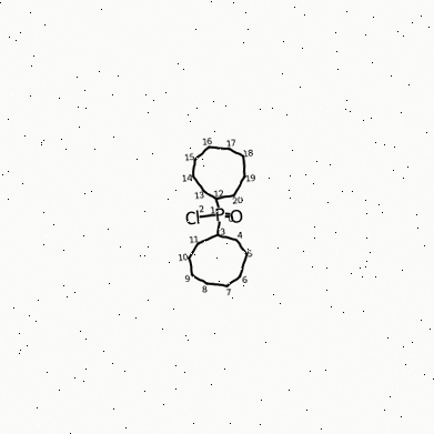 O=P(Cl)(C1CCCCCCCC1)C1CCCCCCCC1